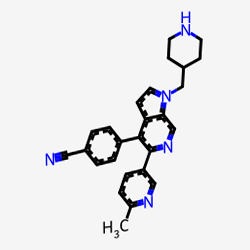 Cc1ccc(-c2ncc3c(ccn3CC3CCNCC3)c2-c2ccc(C#N)cc2)cn1